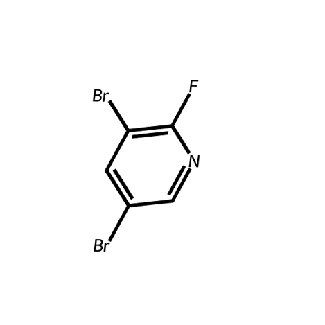 Fc1ncc(Br)cc1Br